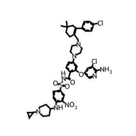 CC1(C)CCC(CN2CCN(c3ccc(C(=O)NS(=O)(=O)c4ccc(NC5CCN(C6CC6)CC5)c([N+](=O)[O-])c4)c(Oc4cnc(N)c(Cl)c4)c3)CC2)=C(c2ccc(Cl)cc2)C1